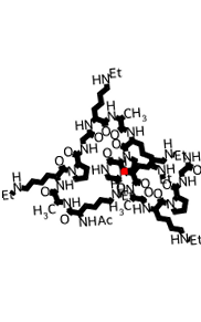 CCNCCCCC(NC(C)=O)C(=O)NC(C)C(=O)NC(CCCCNCC)C(=O)N1CCCC1C(=O)NCC(=O)NC(CCCCNCC)C(=O)NC(C)C(=O)NC(CCCCNCC)C(=O)N1CCCC1C(=O)NCC(=O)NC(CCCCNCC)C(=O)NC(C)C(=O)NC(CCCCNCC)C(=O)N1CCCC1C(=O)NCC(N)=O